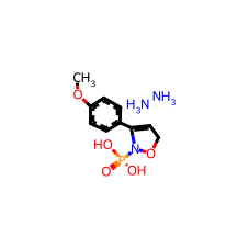 COc1ccc(C2=CCON2P(=O)(O)O)cc1.N.N